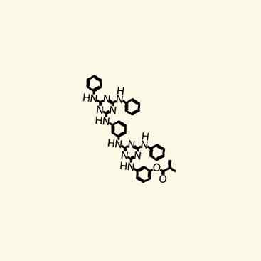 C=C(C)C(=O)Oc1cccc(Nc2nc(Nc3ccccc3)nc(Nc3cccc(Nc4nc(Nc5ccccc5)nc(Nc5ccccc5)n4)c3)n2)c1